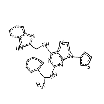 C[C@@H](Nc1nc(NCc2nc3ccccc3[nH]2)c2ncn(-c3ccsc3)c2n1)c1ccccc1